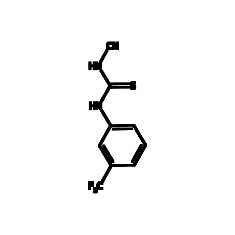 N#CNC(=S)Nc1cccc(C(F)(F)F)c1